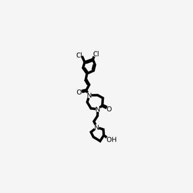 O=C(C=Cc1ccc(Cl)c(Cl)c1)N1CCC(=O)N(CCN2CCCC(O)C2)CC1